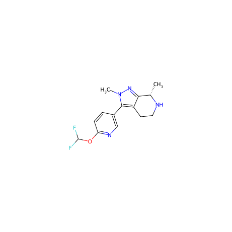 C[C@@H]1NCCc2c1nn(C)c2-c1ccc(OC(F)F)nc1